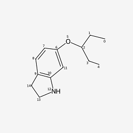 CCC(CC)Oc1ccc2c(c1)NCC2